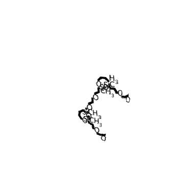 C[Si]1(CCCOCC2CO2)CCCCO[Si](C)(CCCOCCCOC[Si]2(C)CCCCO[Si](C)(CCCOCC3CO3)O2)O1